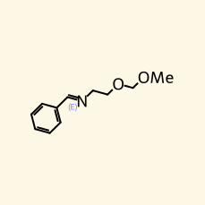 COCOCC/N=C/c1ccccc1